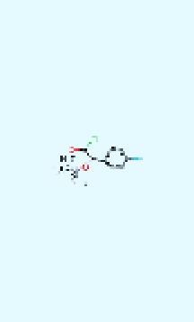 C[Si](C)(C)OC(C(=O)Cl)c1ccc(F)cc1